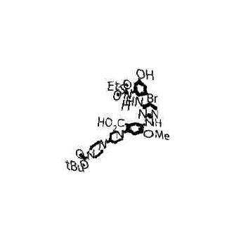 CCS(=O)(=O)Nc1cc(O)ccc1Nc1nc(Nc2cc(C(=O)O)c(N3CCC(N4CCN(C(=O)OC(C)(C)C)CC4)CC3)cc2OC)ncc1Br